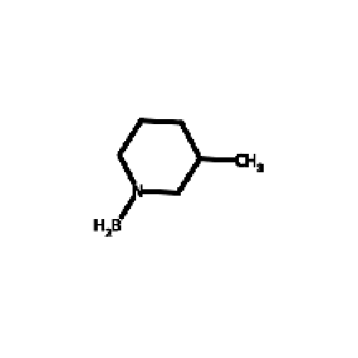 BN1CCCC(C)C1